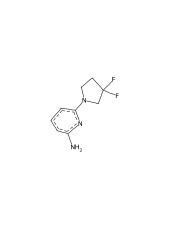 Nc1cccc(N2CCC(F)(F)C2)n1